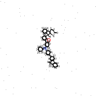 C=C/C=C\C1=C(C)C(C)(c2cccc3c2oc2ccc(N(c4ccccc4)c4ccc(-c5ccc6c(c5)C(C)(C)c5ccccc5-6)cc4)cc23)c2ccccc21